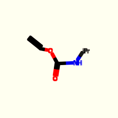 C=COC(=O)NC(C)C